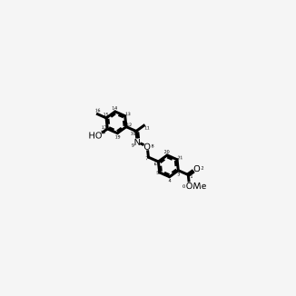 COC(=O)c1ccc(CO/N=C(\C)c2ccc(C)c(O)c2)cc1